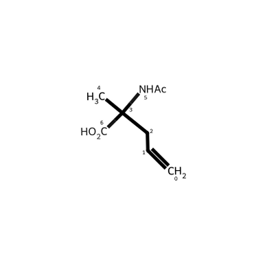 C=CCC(C)(NC(C)=O)C(=O)O